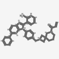 C=CC(=O)N1CCCC2(CN(Cc3ccc(-n4c(-c5cccnc5N)nc5ccc(-c6ccccc6)nc54)cc3)C2)C1